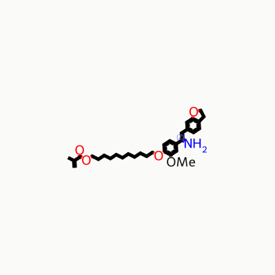 C=C(C)C(=O)OCCCCCCCCCCCOc1ccc(/C(N)=C/c2ccc3c(c2)OCC3)cc1OC